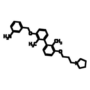 Cc1c(OCCCN2CCCC2)cccc1-c1cccc(OCc2cccc(N)c2)c1C